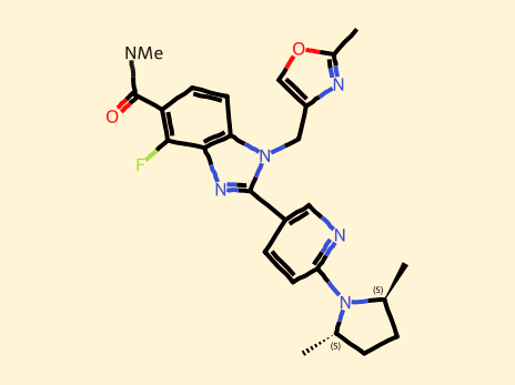 CNC(=O)c1ccc2c(nc(-c3ccc(N4[C@@H](C)CC[C@@H]4C)nc3)n2Cc2coc(C)n2)c1F